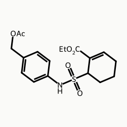 CCOC(=O)C1=CCCCC1S(=O)(=O)Nc1ccc(COC(C)=O)cc1